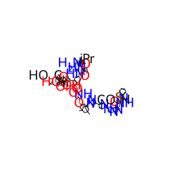 Cc1c(-c2ccc(N3CCn4cnc(C(=O)Nc5nc6ccccc6s5)c4C3)nc2C(=O)O)cnn1CC12CC3(C)CC(C)(C1)CC(OCCNC(=O)OCc1ccc(NC(=O)[C@H](C)NC(=O)[C@@H](N)C(C)C)cc1CC[C@@H]1O[C@H](C(=O)O)[C@@H](O)[C@H](O)[C@H]1O)(C3)C2